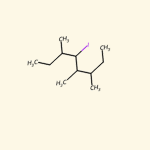 CCC(C)C(C)C(I)C(C)CC